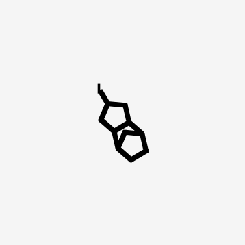 IC1CC2C3CCC(C3)C2C1